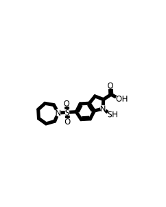 O=C(O)C1Cc2cc(S(=O)(=O)N3CCCCCC3)ccc2N1S